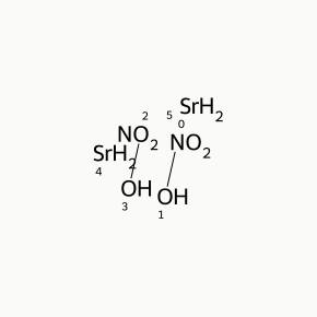 O=[N+]([O-])O.O=[N+]([O-])O.[SrH2].[SrH2]